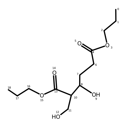 CCCOC(=O)CCC(O)C(CO)C(=O)OCCC